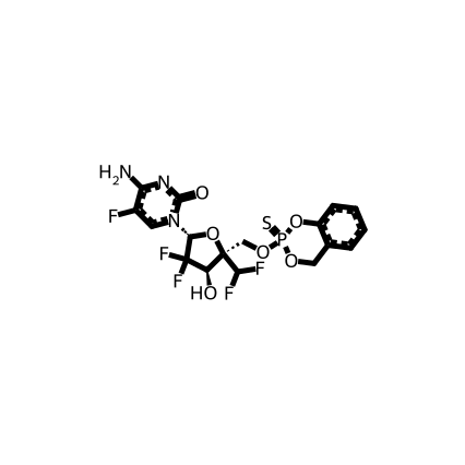 Nc1nc(=O)n([C@@H]2O[C@@](COP3(=S)OCc4ccccc4O3)(C(F)F)[C@@H](O)C2(F)F)cc1F